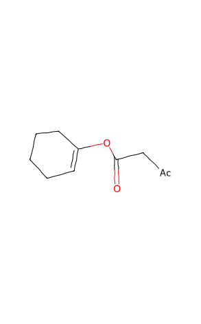 CC(=O)CC(=O)OC1=CCCCC1